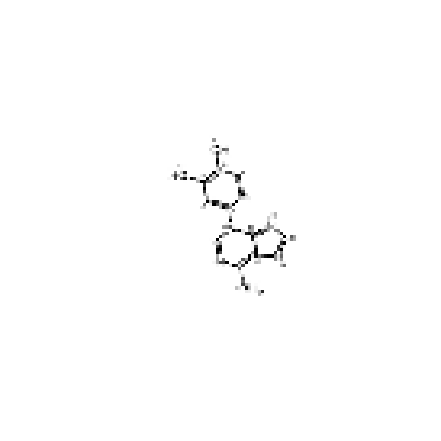 Nc1ncn(-c2ccc(O)c(O)c2)c2ncnc1-2